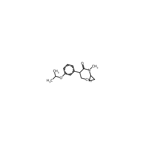 CCC(C(=O)N(C)C1CC1)c1cccc(OC(C)C)c1